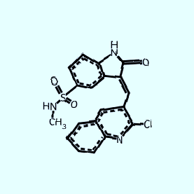 CNS(=O)(=O)c1ccc2c(c1)C(=Cc1cc3ccccc3nc1Cl)C(=O)N2